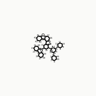 c1ccc(-c2cc(-c3ccccc3)nc(-c3cc(-n4c5ccccc5c5ccccc54)cc4c3sc3ccc5oc6ccccc6c5c34)n2)cc1